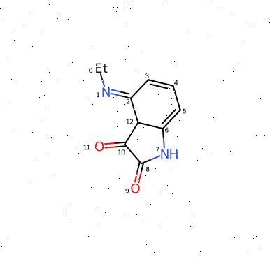 CCN=C1C=CC=C2NC(=O)C(=O)C21